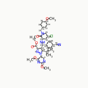 CCOC(=O)c1nn(-c2cnc(OC)nc2OC)c(C(C)C)c1C(Nc1cc(Cl)cn(Cc2ccc(OC)cc2)c1=O)c1ccc(C#N)cc1